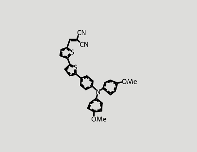 COc1ccc(N(c2ccc(OC)cc2)c2ccc(-c3ccc(-c4ccc(C=C(C#N)C#N)s4)s3)cc2)cc1